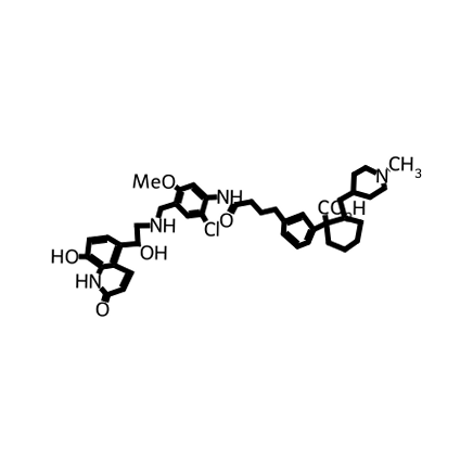 COc1cc(NC(=O)CCCc2cccc(C3(C(=O)O)CCCCC3CC3CCN(C)CC3)c2)c(Cl)cc1CNC[C@H](O)c1ccc(O)c2[nH]c(=O)ccc12